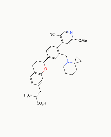 COc1cc(-c2ccc([C@@H]3CCc4ccc(CC(C)C(=O)O)cc4O3)cc2CN2CCCCC23CC3)c(C#N)cn1